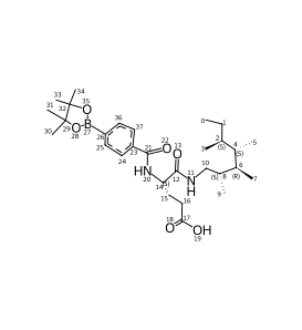 CC[C@H](C)[C@H](C)[C@@H](C)[C@H](C)CNC(=O)[C@H](CCC(=O)O)NC(=O)c1ccc(B2OC(C)(C)C(C)(C)O2)cc1